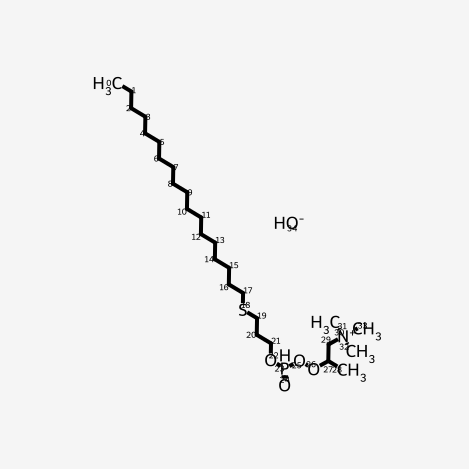 CCCCCCCCCCCCCCCCCCSCCCO[PH](=O)OOC(C)C[N+](C)(C)C.[OH-]